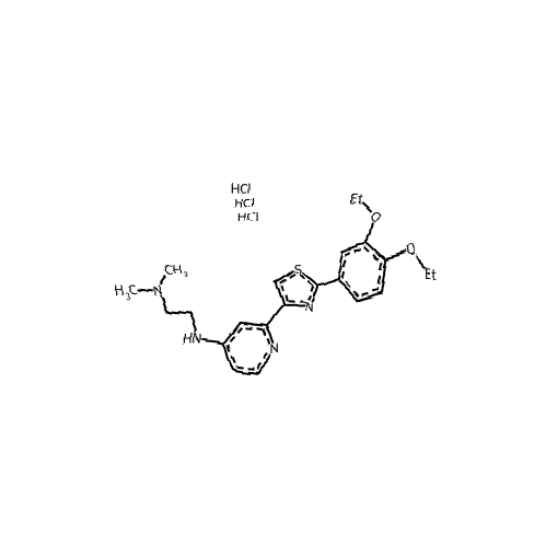 CCOc1ccc(-c2nc(-c3cc(NCCN(C)C)ccn3)cs2)cc1OCC.Cl.Cl.Cl